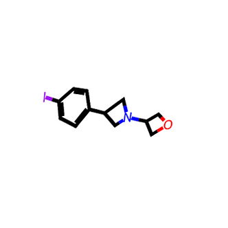 Ic1ccc(C2CN(C3COC3)C2)cc1